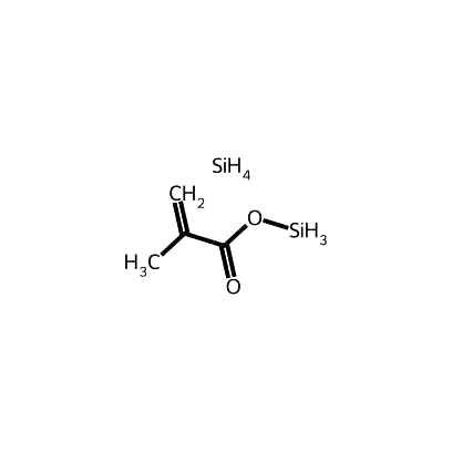 C=C(C)C(=O)O[SiH3].[SiH4]